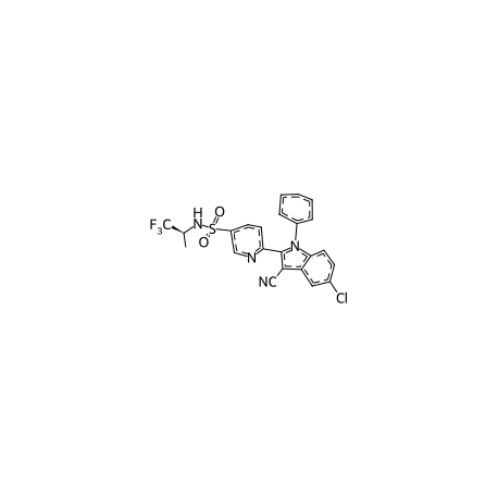 C[C@H](NS(=O)(=O)c1ccc(-c2c(C#N)c3cc(Cl)ccc3n2-c2ccccc2)nc1)C(F)(F)F